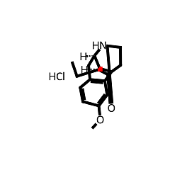 CCC1CC(=O)C[C@]23CCN[C@H](Cc4ccc(OC)cc42)[C@H]13.Cl